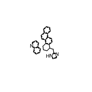 c1ccc2c(c1)ccc1c3c(ccc12)C(Cc1ncc[nH]1)CCC3.c1ccc2ncccc2c1